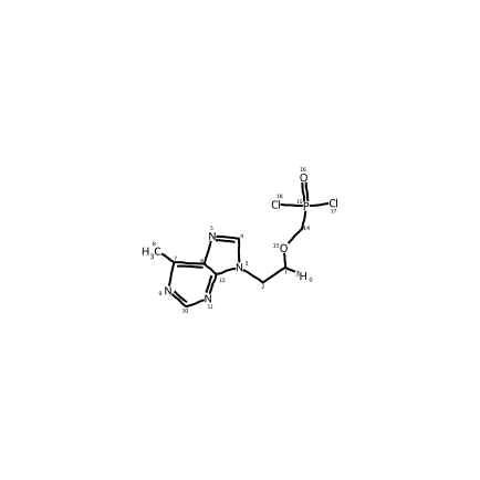 [3H]C(Cn1cnc2c(C)ncnc21)OCP(=O)(Cl)Cl